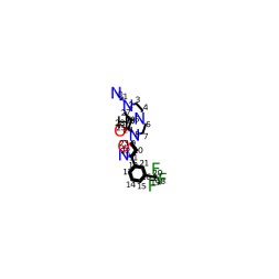 N#CN1CCN2CCN(c3cc(-c4cccc(C(F)(F)F)c4)no3)C(=O)[C@H]2C1